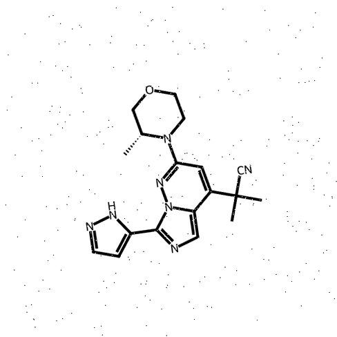 C[C@@H]1COCCN1c1cc(C(C)(C)C#N)c2cnc(-c3ccn[nH]3)n2n1